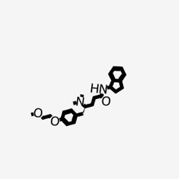 COCCOc1ccc(C[C@@H](CCC(=O)NC2CCc3ccccc32)N(C)C)cc1